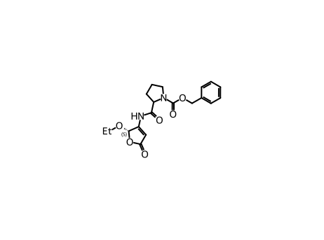 CCO[C@H]1OC(=O)C=C1NC(=O)C1CCCN1C(=O)OCc1ccccc1